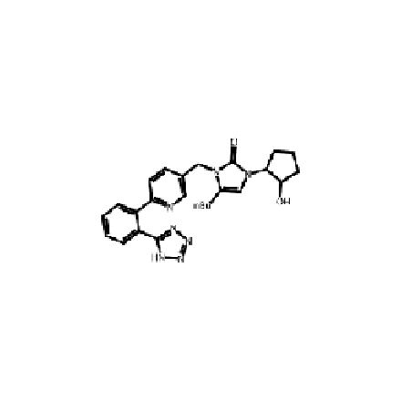 CCCCc1cn(C2CCCC2O)c(=O)n1Cc1ccc(-c2ccccc2-c2nnn[nH]2)nc1